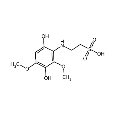 COc1cc(O)c(NCCS(=O)(=O)O)c(OC)c1O